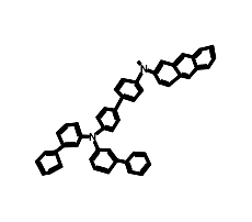 CN(c1ccc(-c2ccc(N(c3cccc(-c4ccccc4)c3)c3cccc(-c4ccccc4)c3)cc2)cc1)c1ccc2cc3ccccc3cc2c1